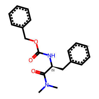 CN(C)C(=O)[C@H](Cc1cc[c]cc1)NC(=O)OCc1ccccc1